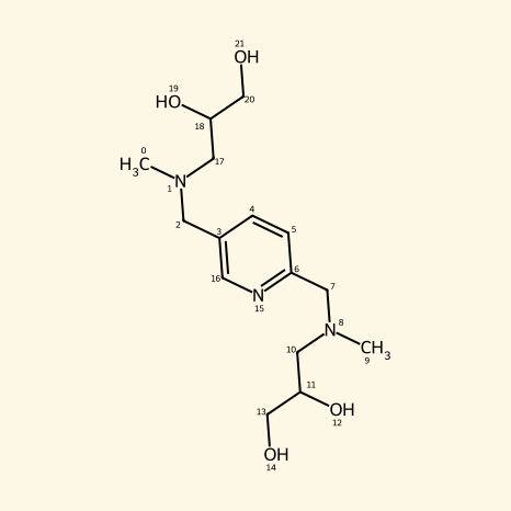 CN(Cc1ccc(CN(C)CC(O)CO)nc1)CC(O)CO